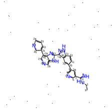 CCNC(=N)c1cncc(-c2ccc3[nH]nc(-c4nc5c(-c6cccnc6)cncc5[nH]4)c3c2)c1